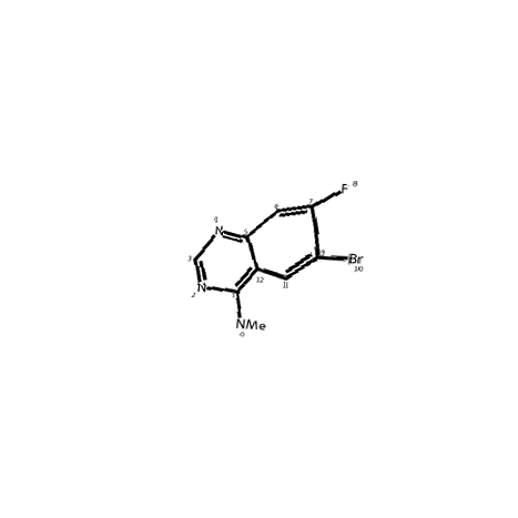 CNc1ncnc2cc(F)c(Br)cc12